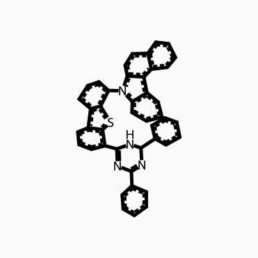 c1ccc(C2=NC(c3ccccc3)NC(c3cccc4c3sc3c(-n5c6ccccc6c6c7ccccc7ccc65)cccc34)=N2)cc1